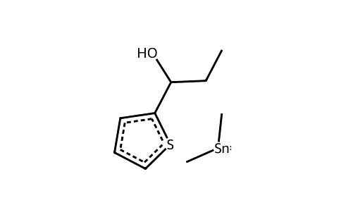 CCC(O)c1cccs1.[CH3][Sn][CH3]